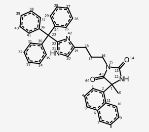 CC1(c2cccc3ccccc23)NC(=O)N(CCCc2c[nH]c(C(c3ccccc3)(c3ccccc3)c3ccccc3)n2)C1=O